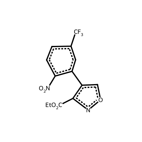 CCOC(=O)c1nocc1-c1cc(C(F)(F)F)ccc1[N+](=O)[O-]